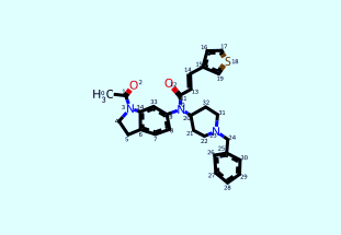 CC(=O)N1CCc2ccc(N(C(=O)C=Cc3ccsc3)C3CCN(Cc4ccccc4)CC3)cc21